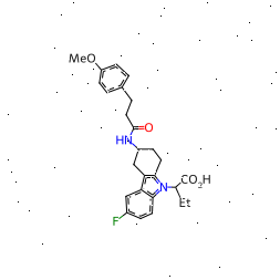 CCC(C(=O)O)n1c2c(c3cc(F)ccc31)CC(NC(=O)CCc1ccc(OC)cc1)CC2